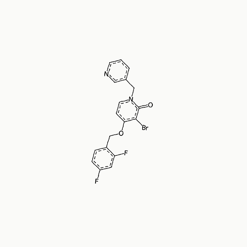 O=c1c(Br)c(OCc2ccc(F)cc2F)ccn1Cc1cccnc1